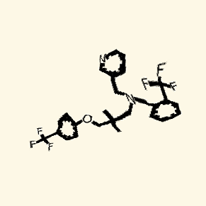 CC(C)(COc1ccc(C(F)(F)F)cc1)CN(Cc1cccnc1)Cc1ccccc1C(F)(F)F